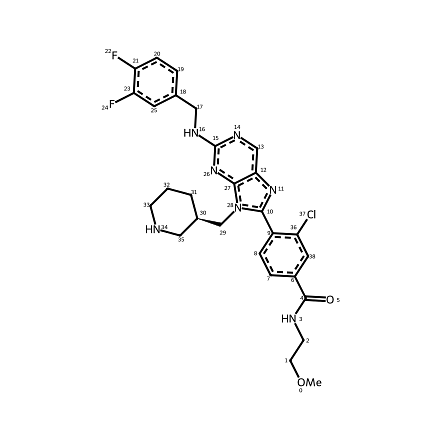 COCCNC(=O)c1ccc(-c2nc3cnc(NCc4ccc(F)c(F)c4)nc3n2C[C@@H]2CCCNC2)c(Cl)c1